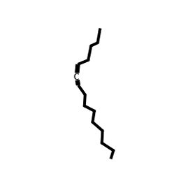 CCCCC=C=CCCCCCCCC